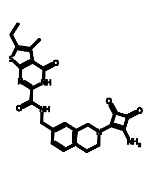 CCc1sc2nc(C(=O)NCc3ccc4c(c3)CN(c3c(N)c(=O)c3=O)CC4)[nH]c(=O)c2c1C